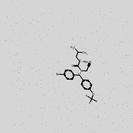 CC(C)C[C@H](N)C(=O)N(CC#N)[C@@H](c1ccc(Br)cc1)c1ccc(OC(F)(F)F)cc1